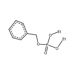 CCOP(=O)(OCC)OCc1ccccc1